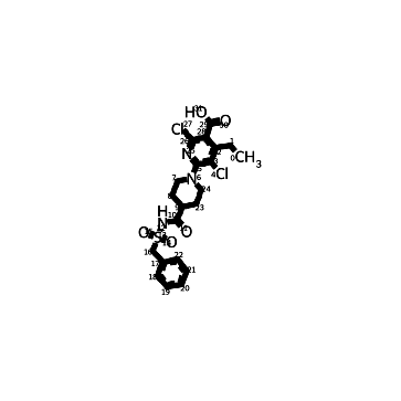 CCc1c(Cl)c(N2CCC(C(=O)NS(=O)(=O)Cc3ccccc3)CC2)nc(Cl)c1C(=O)O